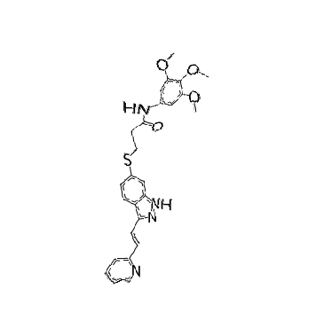 COc1cc(NC(=O)CCSc2ccc3c(C=Cc4ccccn4)n[nH]c3c2)cc(OC)c1OC